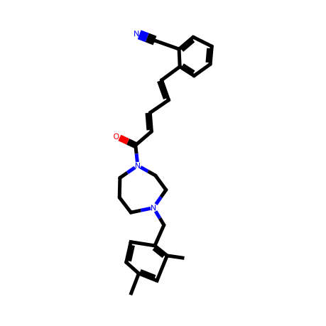 Cc1ccc(CN2CCCN(C(=O)/C=C/C=C/c3ccccc3C#N)CC2)c(C)c1